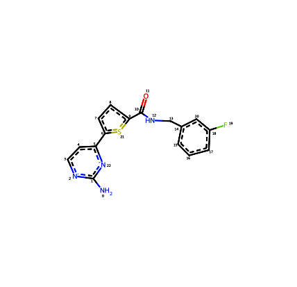 Nc1nccc(-c2ccc(C(=O)NCc3cccc(F)c3)s2)n1